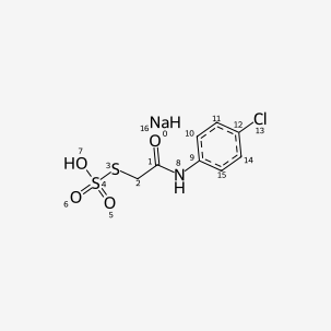 O=C(CSS(=O)(=O)O)Nc1ccc(Cl)cc1.[NaH]